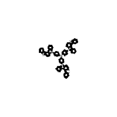 c1ccc2c(c1)sc1ccc3c(c4ccccc4n3-c3ccc(N(c4ccc(-n5c6ccccc6c6c7c(ccc65)sc5ccccc57)cc4)c4ccc(-n5c6ccccc6c6c7c(ccc65)sc5ccccc57)cc4)cc3)c12